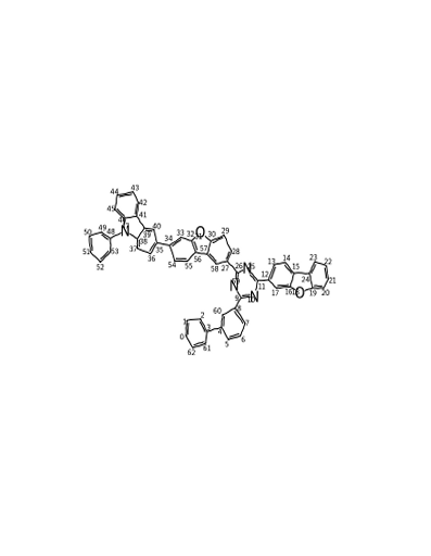 c1ccc(-c2cccc(-c3nc(-c4ccc5c(c4)oc4ccccc45)nc(-c4ccc5oc6cc(-c7ccc8c(c7)c7ccccc7n8-c7ccccc7)ccc6c5c4)n3)c2)cc1